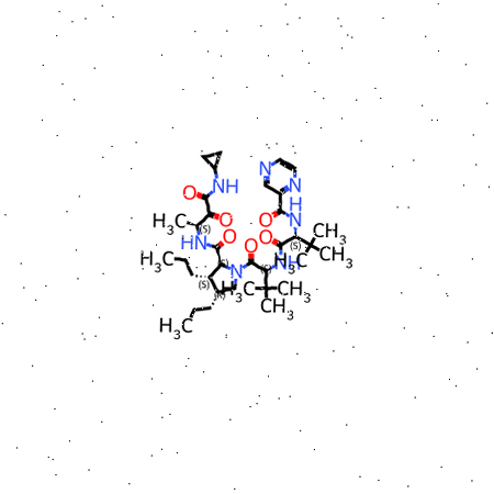 CCC[C@H]1CN(C(=O)[C@@H](NC(=O)[C@@H](NC(=O)c2cnccn2)C(C)(C)C)C(C)(C)C)[C@H](C(=O)N[C@@H](C)C(=O)C(=O)NC2CC2)[C@H]1CCC